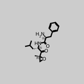 CC(C)C[C@H](NC(=O)[C@@H](N)Cc1ccccc1)C(=O)[C@@]1(C)CO1